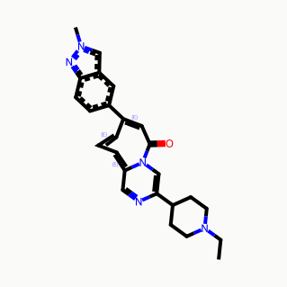 CCN1CCC(C2=CN3C(=O)\C=C(c4ccc5nn(C)cc5c4)/C=C/C=C/3C=N2)CC1